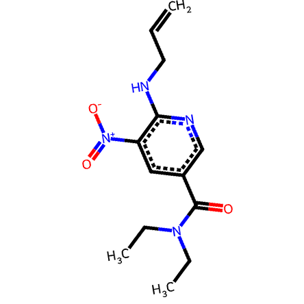 C=CCNc1ncc(C(=O)N(CC)CC)cc1[N+](=O)[O-]